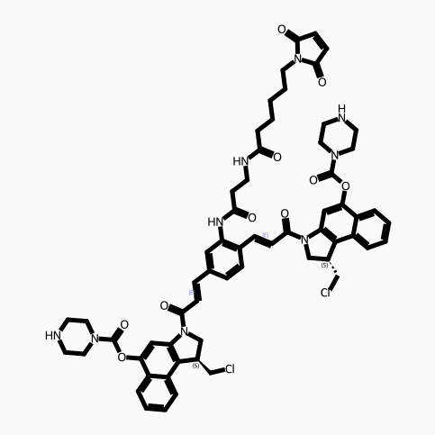 O=C(CCCCCN1C(=O)C=CC1=O)NCCC(=O)Nc1cc(/C=C/C(=O)N2C[C@@H](CCl)c3c2cc(OC(=O)N2CCNCC2)c2ccccc32)ccc1/C=C/C(=O)N1C[C@@H](CCl)c2c1cc(OC(=O)N1CCNCC1)c1ccccc21